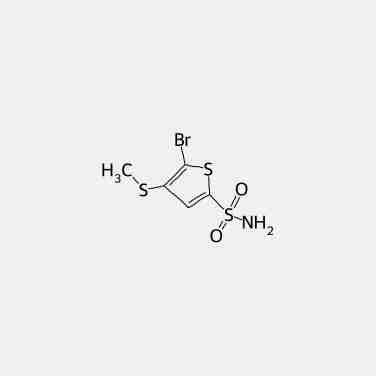 CSc1cc(S(N)(=O)=O)sc1Br